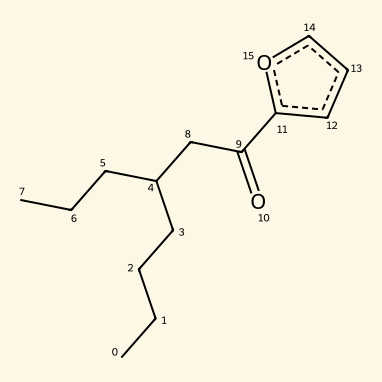 CCCCC(CCC)CC(=O)c1ccco1